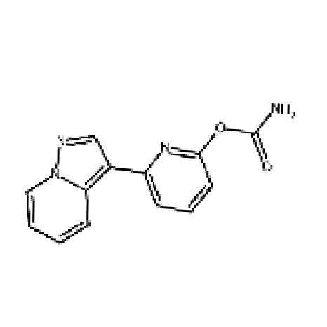 NC(=O)Oc1cccc(-c2cnn3ccccc23)n1